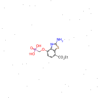 CCOC(=O)c1ccc(OCP(=O)(O)O)c2nc(N)sc12